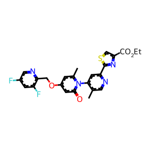 CCOC(=O)c1csc(-c2cc(-n3c(C)cc(OCc4ncc(F)cc4F)cc3=O)c(C)cn2)n1